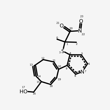 CC(C)(Sc1ccncc1C1=C/CC#CC(CO)/C=C\1)C(=O)N=O